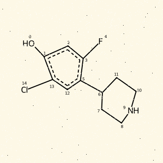 Oc1cc(F)c(C2CCNCC2)cc1Cl